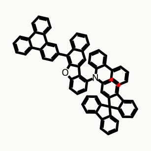 c1ccc(-c2ccccc2N(c2ccc3c(c2)C2(c4ccccc4-c4ccccc42)c2ccccc2-3)c2cccc3oc4c(-c5ccc6c7ccccc7c7ccccc7c6c5)c5ccccc5cc4c23)cc1